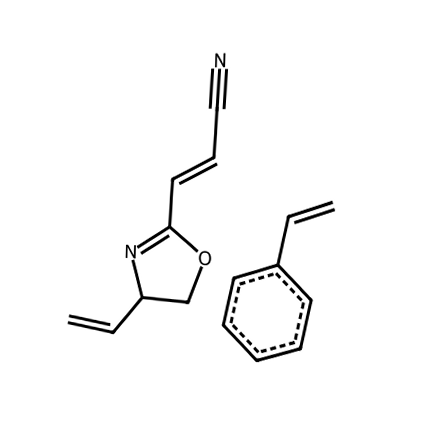 C=CC1COC(C=CC#N)=N1.C=Cc1ccccc1